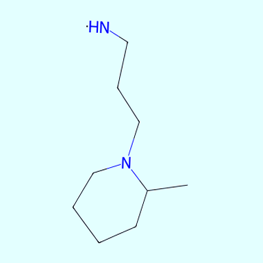 CC1CCCCN1CCC[NH]